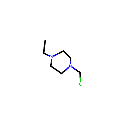 CCN1CCN(CCl)CC1